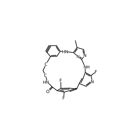 Cc1cnc2nc1Nc1cc#cc(c1)CCCNC(=O)c1c(F)cc(cc1F)-c1cnc(F)c(c1)N2